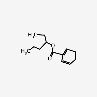 CCCC(CC)OC(=O)C1=CCCC=C1